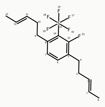 C/C=C/CCc1ccc(CC/C=C/C)c(S(F)(F)(F)(F)F)c1F